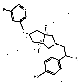 CC(CN1C[C@H]2C[C@H](Oc3cncc(F)c3)C[C@H]2C1)c1ccc(O)cc1